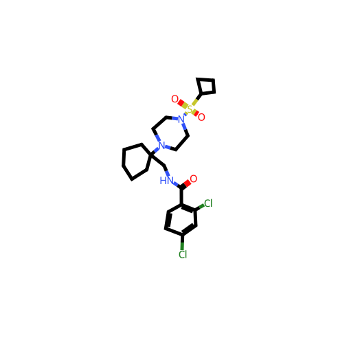 O=C(NCC1(N2CCN(S(=O)(=O)C3CCC3)CC2)CCCCC1)c1ccc(Cl)cc1Cl